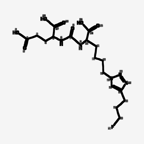 O=C(O)CCC(NC(=O)NC(CCCCn1cc(CCCF)nn1)C(=O)O)C(=O)O